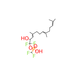 CC(C)=CCCC(C)=CCCC(C)=CC(O)C(F)(F)OP(=O)(O)C(F)F